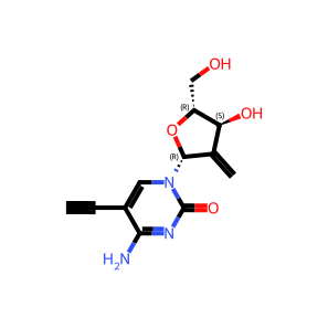 C#Cc1cn([C@@H]2O[C@H](CO)[C@@H](O)C2=C)c(=O)nc1N